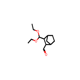 CCOC(OCC)C1C2CCC(C2)C1C=O